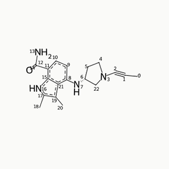 CC#CN1CC[C@@H](Nc2ccc(C(N)=O)c3[nH]c(C)c(C)c23)C1